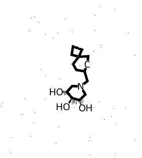 O[C@H]1[C@H](O)CN(CC2CCC3(CCC3)CC2)C[C@@H]1O